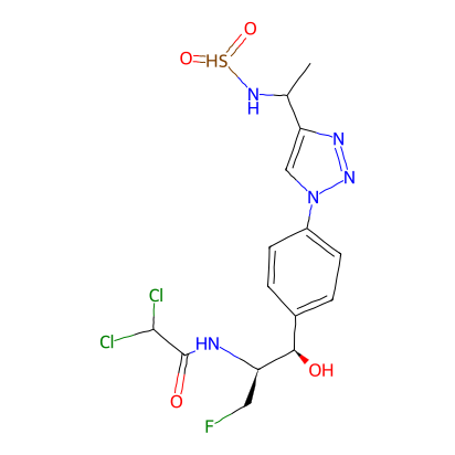 CC(N[SH](=O)=O)c1cn(-c2ccc([C@@H](O)[C@@H](CF)NC(=O)C(Cl)Cl)cc2)nn1